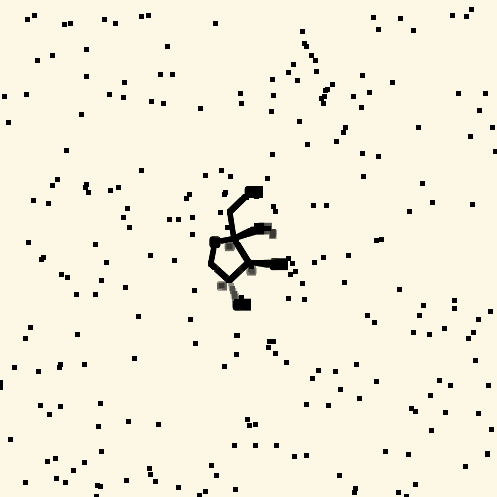 N[C@]1(CO)OC[C@@H](O)[C@@H]1O